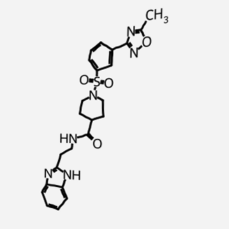 Cc1nc(-c2cccc(S(=O)(=O)N3CCC(C(=O)NCCc4nc5ccccc5[nH]4)CC3)c2)no1